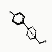 CC(C)CC12COC(c3ccc(Br)cc3)(OC1)SC2